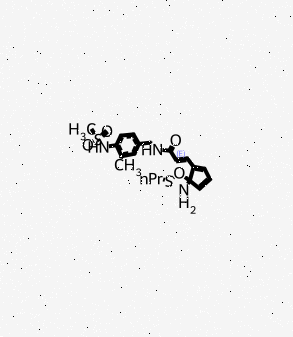 CCCSOC1(N)C=CC=C1/C=C/C(=O)NCc1ccc(NS(C)(=O)=O)c(C)c1